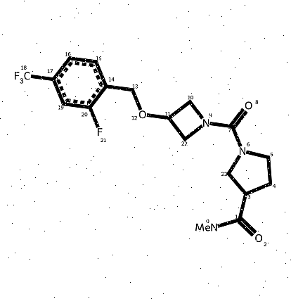 CNC(=O)C1CCN(C(=O)N2CC(OCc3ccc(C(F)(F)F)cc3F)C2)C1